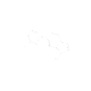 CC(C)(C)c1cnn2ccc(-c3ccnc(Cl)n3)cc12